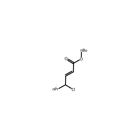 CCCCOC(=O)C=CC(Cl)CCC